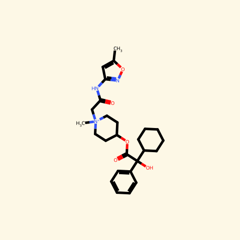 Cc1cc(NC(=O)C[N+]2(C)CCC(OC(=O)C(O)(c3ccccc3)C3CCCCC3)CC2)no1